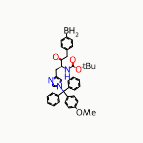 Bc1ccc(CC(=O)[C@H](Cc2cn(C(c3ccccc3)(c3ccccc3)c3ccc(OC)cc3)cn2)NC(=O)OC(C)(C)C)cc1